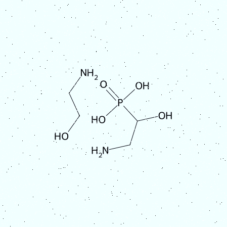 NCC(O)P(=O)(O)O.NCCO